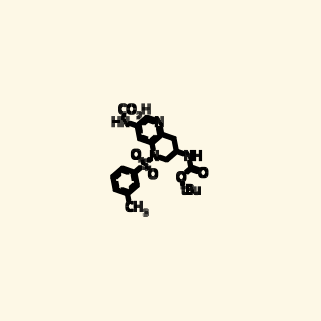 Cc1cccc(S(=O)(=O)N2CC(NC(=O)OC(C)(C)C)Cc3ncc(NC(=O)O)cc32)c1